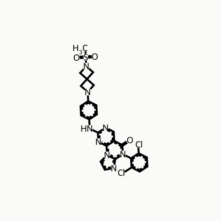 CS(=O)(=O)N1CC2(CN(c3ccc(Nc4ncc5c(=O)n(-c6c(Cl)cccc6Cl)c6nccn6c5n4)cc3)C2)C1